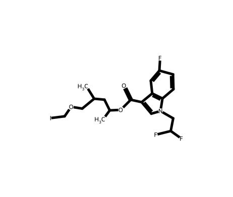 CC(COCI)CC(C)OC(=O)c1cn(CC(F)F)c2ccc(F)cc12